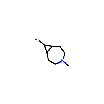 CCC1C2CCN(C)CCC12